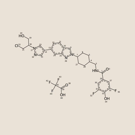 O=C(NCC1CCC(n2cc3ccc(-c4cnn(C(CO)CCl)c4)cc3n2)CC1)c1cc(F)c(O)c(F)c1.O=C(O)C(F)(F)F